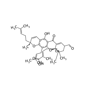 CC(C)=CCC[C@]1(C)C=Cc2c(O)c3c(c(CC=C(C)C)c2O1)O[C@]12C(=CC(C=O)CC1C(C)(C)OC2C/C=C(\C)C(=O)O)C3=O